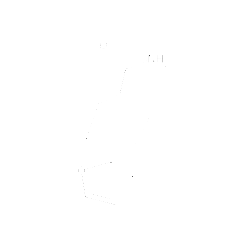 NC(=O)C1CCC2(CC=CO2)CC1